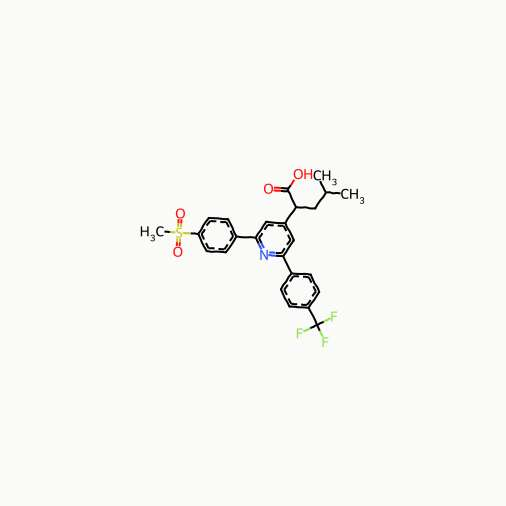 CC(C)CC(C(=O)O)c1cc(-c2ccc(C(F)(F)F)cc2)nc(-c2ccc(S(C)(=O)=O)cc2)c1